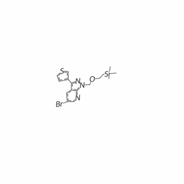 C[Si](C)(C)CCOCn1nc(-c2ccsc2)c2cc(Br)cnc21